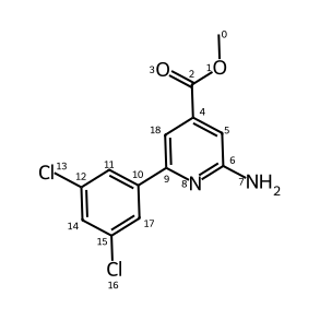 COC(=O)c1cc(N)nc(-c2cc(Cl)cc(Cl)c2)c1